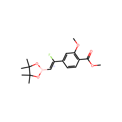 COC(=O)c1ccc(/C(F)=C/B2OC(C)(C)C(C)(C)O2)cc1OC